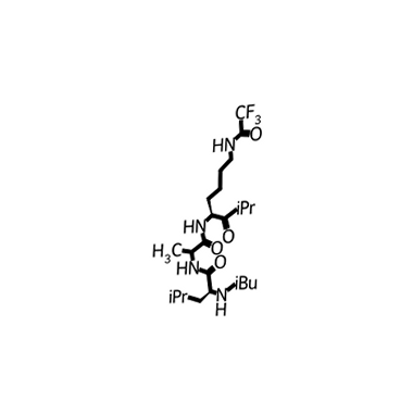 CCC(C)N[C@@H](CC(C)C)C(=O)NC(C)C(=O)N[C@@H](CCCCNC(=O)C(F)(F)F)C(=O)C(C)C